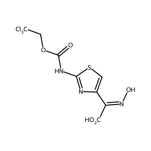 O=C(Nc1nc(/C(=N\O)C(=O)O)cs1)OCC(Cl)(Cl)Cl